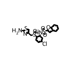 Nc1nc(C[S+]([O-])c2ccc(Cl)cc2NS(=O)(=O)c2cc3ccccc3o2)cs1